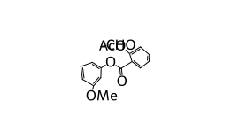 CC=O.COc1cccc(OC(=O)c2ccccc2OC(C)=O)c1